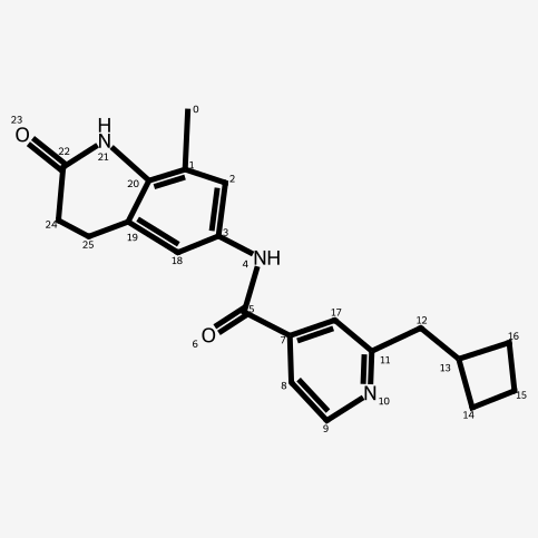 Cc1cc(NC(=O)c2ccnc(CC3CCC3)c2)cc2c1NC(=O)CC2